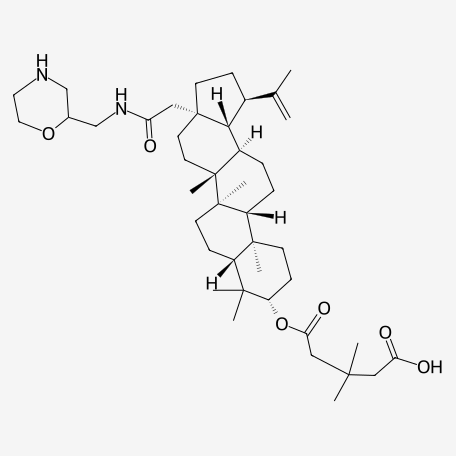 C=C(C)[C@@H]1CC[C@]2(CC(=O)NCC3CNCCO3)CC[C@]3(C)[C@H](CC[C@@H]4[C@@]5(C)CC[C@H](OC(=O)CC(C)(C)CC(=O)O)C(C)(C)[C@@H]5CC[C@]43C)[C@@H]12